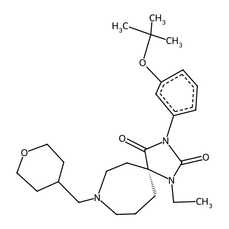 CCN1C(=O)N(c2cccc(OC(C)(C)C)c2)C(=O)[C@@]12CCCN(CC1CCOCC1)CC2